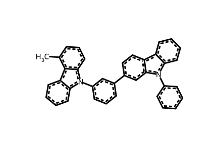 Cc1cccc2c1c1ccccc1n2-c1cccc(-c2ccc3c4ccccc4n(-c4ccccc4)c3c2)c1